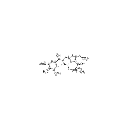 CC#CCCOC(Cn1cc(CC(=O)O)c(C(=O)OC)c1)[C@H](O)c1cc(OC)c(C)c(OC)c1